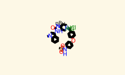 CCCCN(C(=O)Nc1cn(C)c2ccccc12)C1CCN(Cc2ccc(Oc3ccc(NS(C)(=O)=O)cc3)cc2)CC1.Cl.Cl